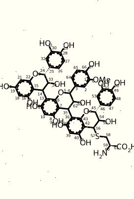 COc1cc(C2Oc3c(c(O)cc(O)c3C3c4c(O)cc(O)cc4O[C@H](c4ccc(O)c(O)c4)C3O)C(c3c(O)cc(O)c4c3O[C@H](c3ccc(O)c(O)c3)C(O)C4SC[C@H](N)C(=O)O)C2O)ccc1O